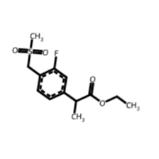 CCOC(=O)C(C)c1ccc(CS(C)(=O)=O)c(F)c1